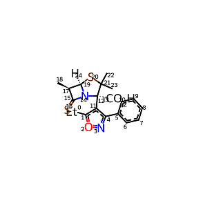 CCc1onc(-c2ccccc2)c1[C@@]1(C(=O)O)N2C(=S)[C@@H](C)[C@H]2SC1(C)C